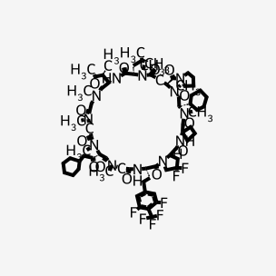 CC[C@H](C)[C@@H]1NC(=O)[C@H](CC(C)C)N(C)C(=O)C[C@@H](C(=O)N2CCCC2)N(C)C(=O)[C@H](C2CCCCC2)N(C)C(=O)C2(CCC2)NC(=O)[C@@H]2CC(F)(F)CN2C(=O)[C@H](CCc2cc(F)c(C(F)(F)F)c(F)c2)NC(=O)CN(C)C(=O)[C@H](C(=O)CC2CCCCC2)N(C)C(=O)CN(C)C(=O)CN(C)C1=O